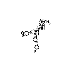 CC(=O)c1sc(NC(=O)N[C@@H]2CCN(C3CCS(=O)(=O)CC3)C[C@H]2CN2CCC[C@@H](Cc3ccc(F)cc3)C2)nc1C